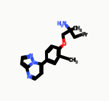 Cc1cc(-c2ccnc3ccnn23)ccc1OCC(C)(N)CC(C)C